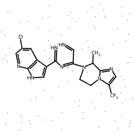 CC1c2ncc(C(F)(F)F)n2CCN1/C(C=N)=N/C(=N)c1c[nH]c2ncc(Cl)cc12